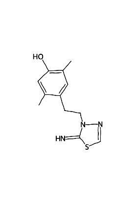 Cc1cc(CCn2ncsc2=N)c(C)cc1O